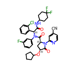 N#Cc1ccnc(N2C(=O)[C@@H](OC3CCCC3)C[C@H]2C(=O)N(c2cccc(F)c2)[C@H](C(=O)NC2CCC(F)(F)CC2)c2ccccc2Cl)c1